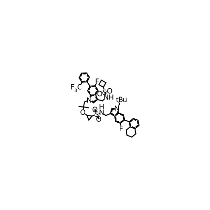 CC(C)(C)Cn1cc(CNS(=O)(=O)C2CC2OC(C)(C)Cn2cc(CNS(=O)(=O)C3CCC3)c3cc(F)c(-c4ccccc4C(F)(F)F)cc32)c2cc(F)c(-c3cccc4c3CCCC4)cc21